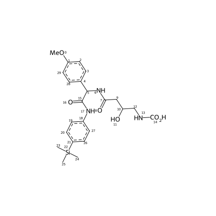 COc1ccc(C(NC(=O)CC(O)CNC(=O)O)C(=O)Nc2ccc([Si](C)(C)C)cc2)cc1